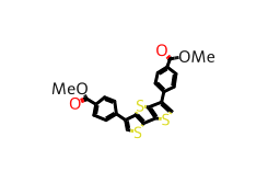 COC(=O)c1ccc(-c2csc3c2sc2c(-c4ccc(C(=O)OC)cc4)csc23)cc1